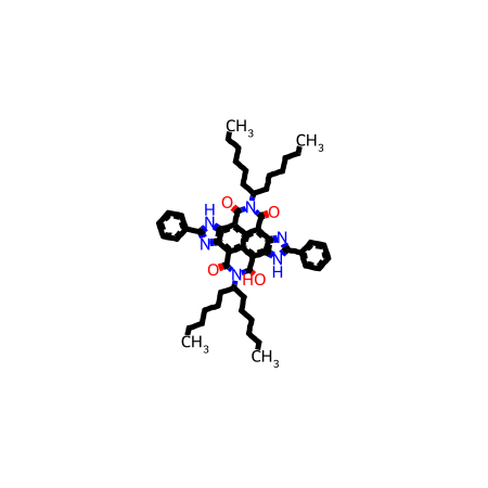 CCCCCCC(CCCCCC)N1C(=O)c2c3nc(-c4ccccc4)[nH]c3c3c4c(c5nc(-c6ccccc6)[nH]c5c(c24)C1=O)C(=O)N(C(CCCCCC)CCCCCC)C3O